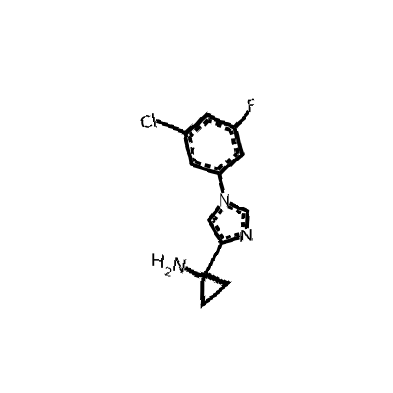 NC1(c2cn(-c3cc(F)cc(Cl)c3)cn2)CC1